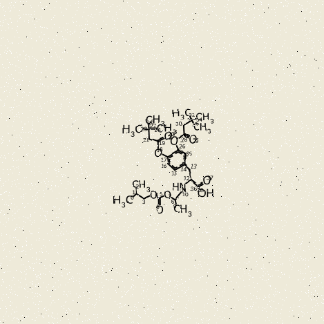 CC(C)COC(=O)OC(C)CN[C@@H](Cc1ccc(OC(=O)CC(C)(C)C)c(OC(=O)CC(C)(C)C)c1)C(=O)O